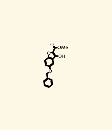 COC(=O)c1oc2ccc(OCc3ccccc3)cc2c1O